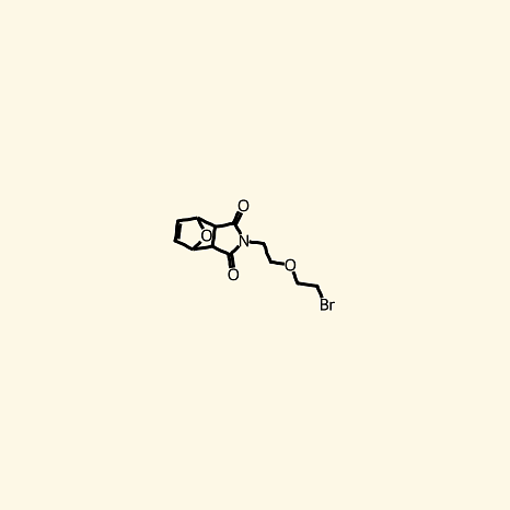 O=C1C2C3C=CC(O3)C2C(=O)N1CCOCCBr